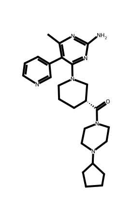 Cc1nc(N)nc(N2CCC[C@@H](C(=O)N3CCN(C4CCCC4)CC3)C2)c1-c1cccnc1